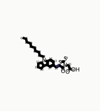 CCCCCCCCCCN1c2ccc(/C=C3\SC(=S)N(CC(=O)O)C3=O)cc2C2CCCC21